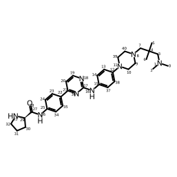 CN(C)CC(C)(C)CN1CCN(c2ccc(Nc3nccc(-c4ccc(NC(=O)[C@H]5CCCN5)cc4)n3)cc2)CC1